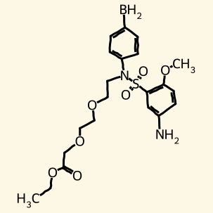 Bc1ccc(N(CCOCCOCC(=O)OCC)S(=O)(=O)c2cc(N)ccc2OC)cc1